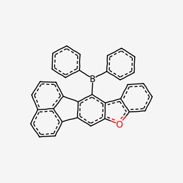 c1ccc(B(c2ccccc2)c2c3c(cc4oc5ccccc5c24)-c2cccc4cccc-3c24)cc1